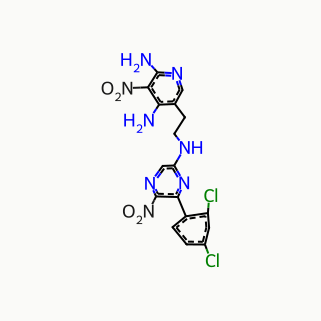 Nc1ncc(CCNc2cnc([N+](=O)[O-])c(-c3ccc(Cl)cc3Cl)n2)c(N)c1[N+](=O)[O-]